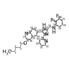 CCCCCOc1cnc2ccc(-c3[nH]c(CNc4cccc(F)c4F)nc3-c3ccccn3)cc2c1